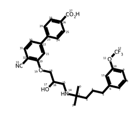 CC(C)(CCCc1cccc(OC(F)(F)F)c1)NCC(O)COc1cc(-c2ccc(C(=O)O)cc2)ccc1C#N